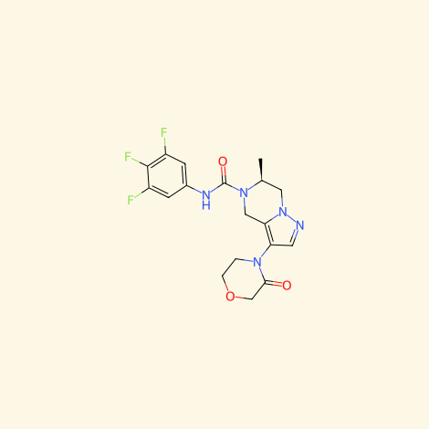 C[C@H]1Cn2ncc(N3CCOCC3=O)c2CN1C(=O)Nc1cc(F)c(F)c(F)c1